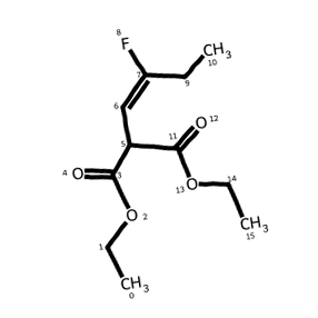 CCOC(=O)C(/C=C(/F)CC)C(=O)OCC